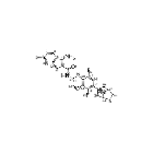 Cc1ccc2c(N)c(C(=O)N[C@H]3COc4c(F)c(N5CC6CCC(C5)N6)cc(F)c4C3)sc2n1